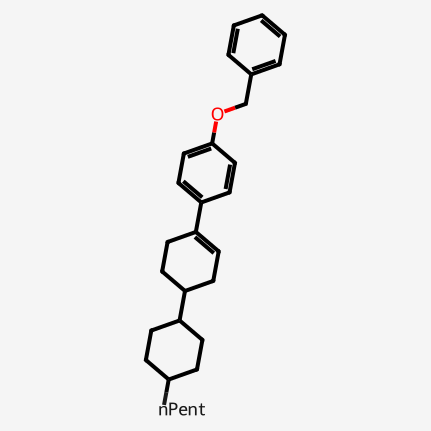 CCCCCC1CCC(C2CC=C(c3ccc(OCc4ccccc4)cc3)CC2)CC1